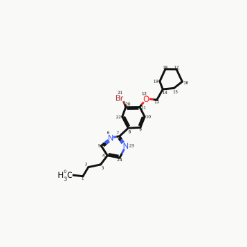 CCCCc1cnc(-c2ccc(OCC3CC[CH]CC3)c(Br)c2)nc1